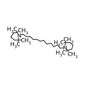 CC1(C)CCCC(C)(C)N1CCCCCCCCCCCCN1C(C)(C)CCCC1(C)C